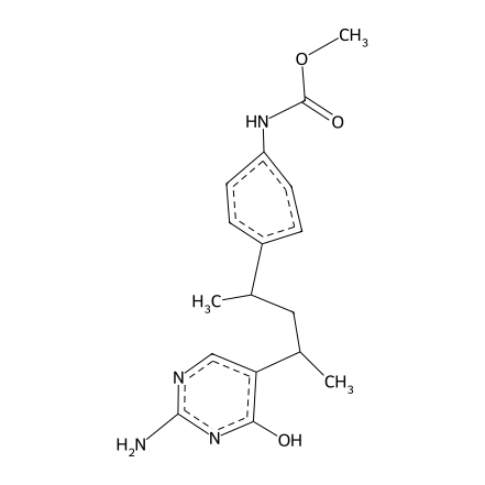 COC(=O)Nc1ccc(C(C)CC(C)c2cnc(N)nc2O)cc1